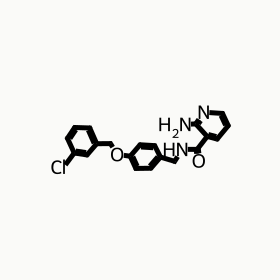 Nc1ncccc1C(=O)NCc1ccc(OCc2cccc(Cl)c2)cc1